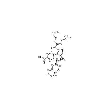 CCCCN(CCCC)C(=O)c1ncn(C)c1-c1ccc(C(=O)O)cc1C(=O)N1CCc2ccccc2C1